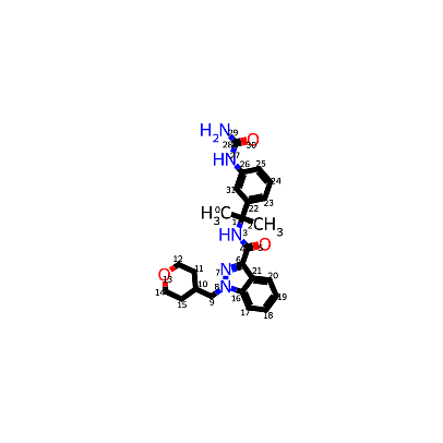 CC(C)(NC(=O)c1nn(CC2CCOCC2)c2ccccc12)c1cccc(NC(N)=O)c1